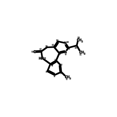 Cc1ccc2c(c1)-c1nc(C(C)C)ncc1CC(=O)N2